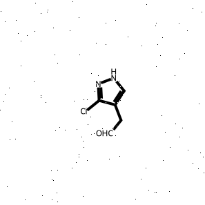 O=CCc1c[nH]nc1Cl